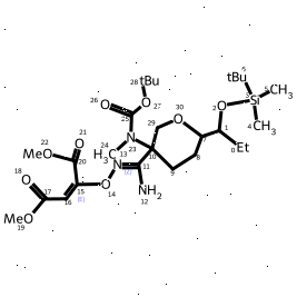 CCC(O[Si](C)(C)C(C)(C)C)C1CCC(/C(N)=N/O/C(=C/C(=O)OC)C(=O)OC)(N(C)C(=O)OC(C)(C)C)CO1